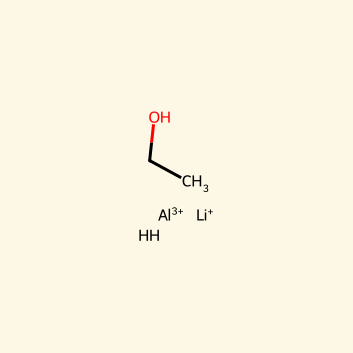 CCO.[Al+3].[HH].[Li+]